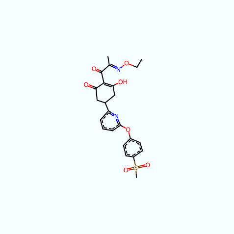 CCON=C(C)C(=O)C1=C(O)CC(c2cccc(Oc3ccc(S(C)(=O)=O)cc3)n2)CC1=O